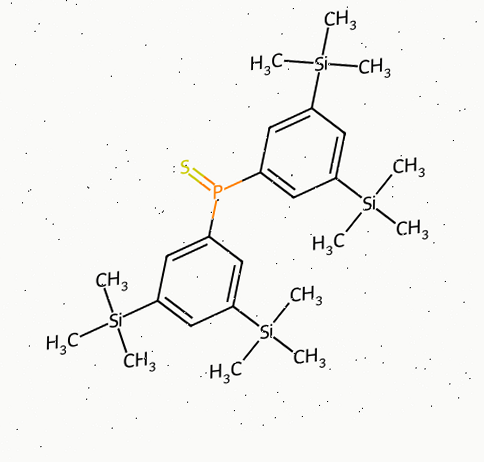 C[Si](C)(C)c1cc([P](=S)c2cc([Si](C)(C)C)cc([Si](C)(C)C)c2)cc([Si](C)(C)C)c1